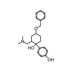 CN(C)CC1CC(OCc2ccccc2)CCC1(O)c1ccc(O)cc1